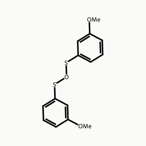 COc1cccc(SOSc2cccc(OC)c2)c1